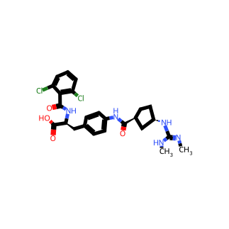 C/N=C(\NC)N[C@H]1CC[C@H](C(=O)Nc2ccc(C[C@H](NC(=O)c3c(Cl)cccc3Cl)C(=O)O)cc2)C1